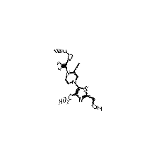 CC1CN(c2sc(CO)nc2C(=O)O)CCN1C(=O)OC(C)(C)C